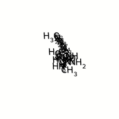 Cc1cc(-c2nc(C(N)=O)c(Nc3ccc(N4CCC(N5CCN(C)CC5)CC4)c(C)c3)nc2NC2CCOCC23CC3)n[nH]1